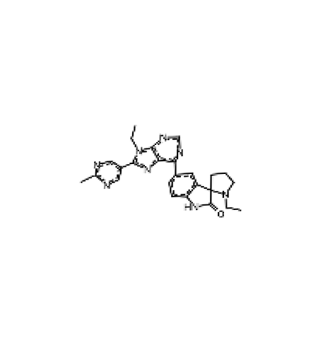 CCN1CCCC12C(=O)Nc1ccc(-c3ncnc4c3nc(-c3cnc(C)nc3)n4CC)cc12